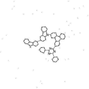 c1ccc(-c2nc(-c3ccccc3)nc(-c3ccc4c5ccccc5c5ccc(-n6c7ccccc7c7cc(-c8ccc9sc%10ccccc%10c9c8)ccc76)cc5c4c3)n2)cc1